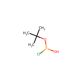 CC(C)(C)OP(O)Cl